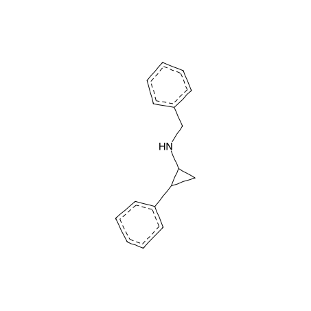 c1ccc(CNC2CC2c2ccccc2)cc1